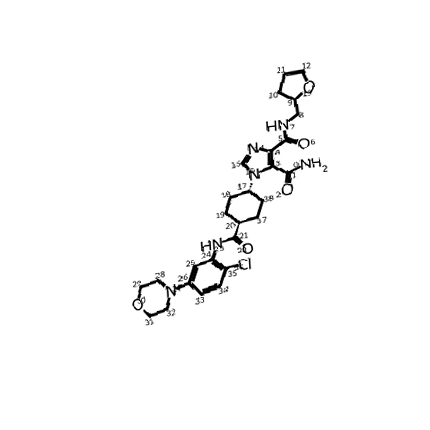 NC(=O)c1c(C(=O)NCC2CCCO2)ncn1[C@H]1CC[C@H](C(=O)Nc2cc(N3CCOCC3)ccc2Cl)CC1